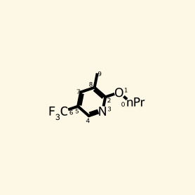 CCCOc1ncc(C(F)(F)F)cc1C